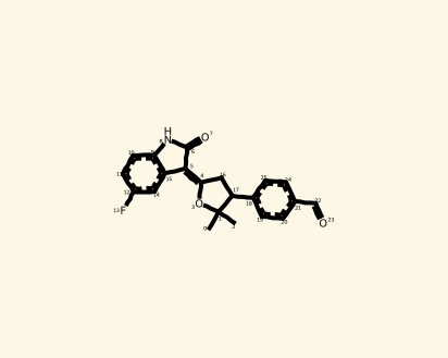 CC1(C)O/C(=C2/C(=O)Nc3ccc(F)cc32)CC1c1ccc(C=O)cc1